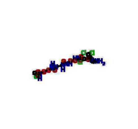 N[C@@H]1CCCN([C@H]2Cc3c(Cl)cc(Cl)cc3[C@@H]2Oc2ccc(S(=O)(=O)NCCOCCOCCNC(=O)NCCCCNC(=O)NCCOCCOCCNS(=O)(=O)c3ccccc3Cl)c(Cl)c2)C1